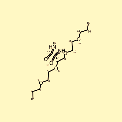 CCCOCCOCCOCCOCCC.N=C=O.N=C=O